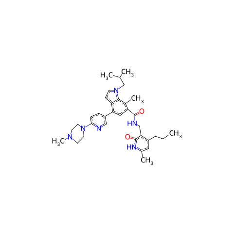 CCCc1cc(C)[nH]c(=O)c1CNC(=O)c1cc(-c2ccc(N3CCN(C)CC3)nc2)c2ccn(CC(C)C)c2c1C